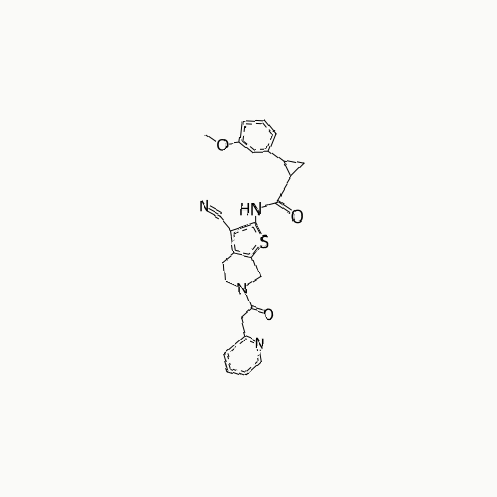 COc1cccc(C2CC2C(=O)Nc2sc3c(c2C#N)CCN(C(=O)Cc2ccccn2)C3)c1